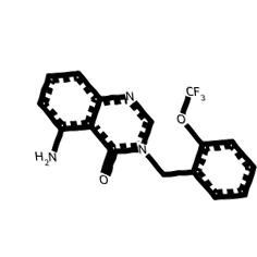 Nc1cccc2ncn(Cc3ccccc3OC(F)(F)F)c(=O)c12